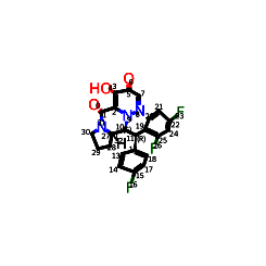 O=C1c2c(O)c(=O)cnn2[C@@H]([C@H](c2ccc(F)cc2)c2ccc(F)cc2F)[C@H]2CCCN12